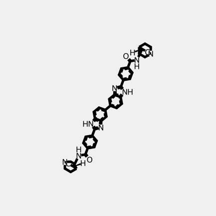 O=C(N[C@H]1CN2CCC1CC2)c1ccc(-c2nc3cc(-c4ccc5[nH]c(-c6ccc(C(=O)N[C@H]7CN8CCC7CC8)cc6)nc5c4)ccc3[nH]2)cc1